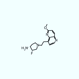 COc1ccc2nccc(CCN3CC[C@@H](N)[C@@H](F)C3)c2n1